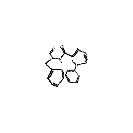 O=C[C@H](Cc1ccccc1)NC(=O)c1cncn1-c1ccccn1